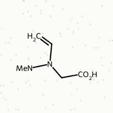 C=CN(CC(=O)O)NC